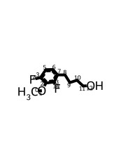 COc1c(F)ccc(CCCCO)c1F